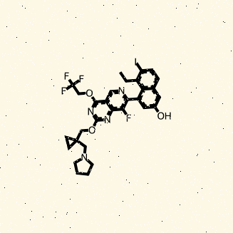 CCc1c(I)ccc2cc(O)cc(-c3ncc4c(OCC(F)(F)F)nc(OCC5(CN6CCCC6)CC5)nc4c3F)c12